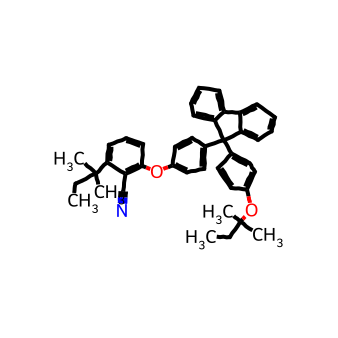 CCC(C)(C)Oc1ccc(C2(c3ccc(Oc4cccc(C(C)(C)CC)c4C#N)cc3)c3ccccc3-c3ccccc32)cc1